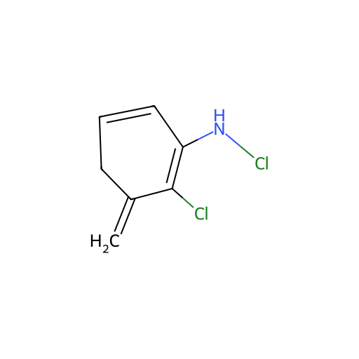 C=C1CC=CC(NCl)=C1Cl